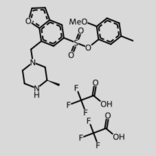 COc1ccc(C)cc1OS(=O)(=O)c1cc(CN2CCN[C@H](C)C2)c2occc2c1.O=C(O)C(F)(F)F.O=C(O)C(F)(F)F